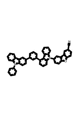 N#Cc1ccc2oc3ccc(-n4c5ccccc5c5c(-c6cccc(-c7ccc8c(c7)c7ccccc7n8-c7ccccc7)c6)cccc54)cc3c2c1